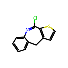 ClC1=Nc2ccccc2Cc2ccsc21